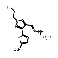 CCOC(=O)N/N=C/c1cn(CCC(C)C)nc1-c1ccc([N+](=O)[O-])o1